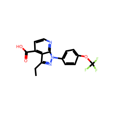 CCc1nn(-c2ccc(OC(F)(F)F)cc2)c2nccc(C(=O)O)c12